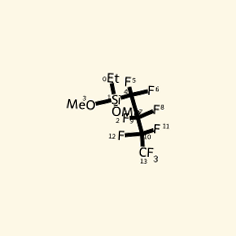 CC[Si](OC)(OC)C(F)(F)C(F)(F)C(F)(F)C(F)(F)F